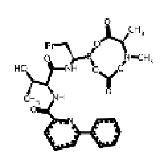 CC(C)C[C@H](NC(=O)[C@@H](NC(=O)c1cccc(-c2ccccc2)n1)[C@@H](C)O)B1OC(=O)CN(C)[C@H](C)C(=O)O1